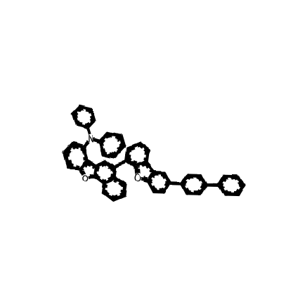 c1ccc(-c2ccc(-c3ccc4oc5c(-c6cc7c(oc8cccc(N(c9ccccc9)c9ccccc9)c87)c7ccccc67)cccc5c4c3)cc2)cc1